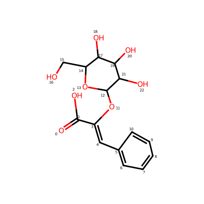 O=C(O)C(=Cc1ccccc1)OC1OC(CO)C(O)C(O)C1O